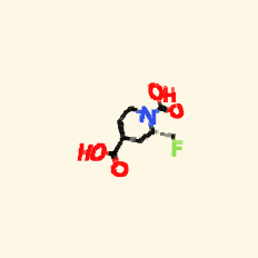 O=C(O)C1=CCN(C(=O)O)[C@H](CF)C1